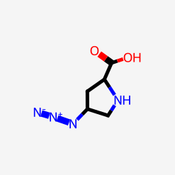 [N-]=[N+]=NC1CNC(C(=O)O)C1